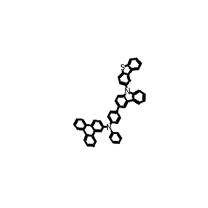 c1ccc(N(c2ccc(-c3ccc4c(c3)c3ccccc3n4-c3ccc4sc5ccccc5c4c3)cc2)c2ccc3c4ccccc4c4ccccc4c3c2)cc1